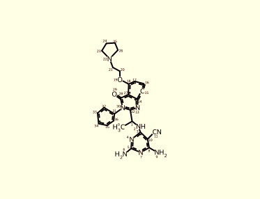 CC(Nc1nc(N)nc(N)c1C#N)c1nc2cccc(OCCN3CCCC3)c2c(=O)n1-c1ccccc1